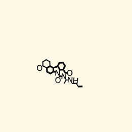 C=CCCNC(C)n1c(=O)c2cccc3c4c5c(ccc4n(c1=O)c23)C(=O)CCC5